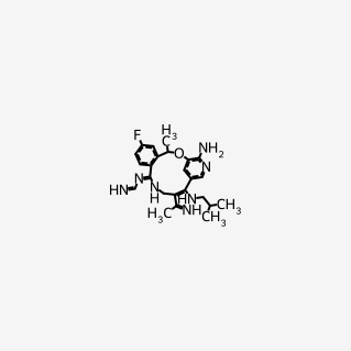 CC(=N)/C1=C(\NCC(C)C)c2cnc(N)c(c2)OC(C)c2cc(F)ccc2/C(=N/C=N)NC1